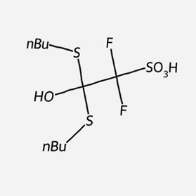 CCCCSC(O)(SCCCC)C(F)(F)S(=O)(=O)O